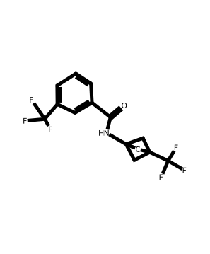 O=C(NC12CC(C(F)(F)F)(C1)C2)c1cccc(C(F)(F)F)c1